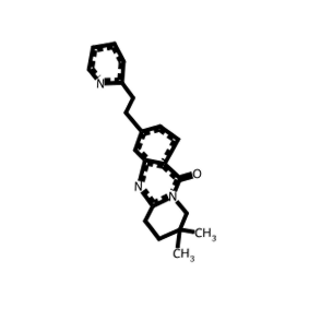 CC1(C)CCc2nc3cc(CCc4ccccn4)ccc3c(=O)n2C1